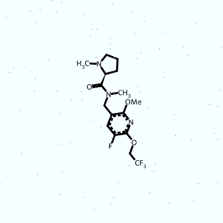 COc1nc(OCC(F)(F)F)c(F)cc1CN(C)C(=O)[C@@H]1CCCN1C